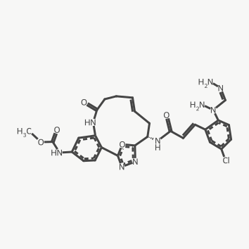 COC(=O)Nc1ccc2c(c1)NC(=O)CC/C=C/C[C@H](NC(=O)/C=C/c1cc(Cl)ccc1N(N)/C=N\N)c1nnc-2o1